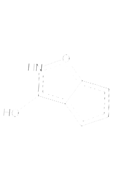 Oc1[nH]oc2cccc1-2